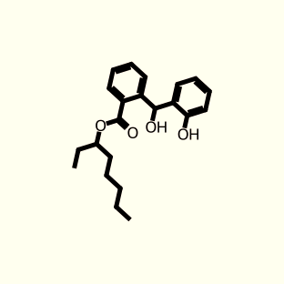 CCCCCC(CC)OC(=O)c1ccccc1C(O)c1ccccc1O